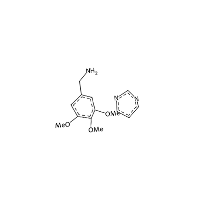 COc1cc(CN)cc(OC)c1OC.c1cncnc1